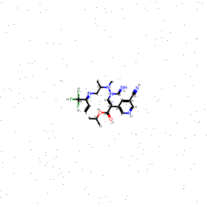 C=C/C(=N\CC(C)N(C)N(C=N)/C=C(/C(=O)OC(C)C)c1cncc(C#N)c1)C(F)(F)F